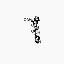 COCCC(=O)N(CC1CCOCC1)c1ncc(C(=O)NCc2ccc3nccn3c2)s1